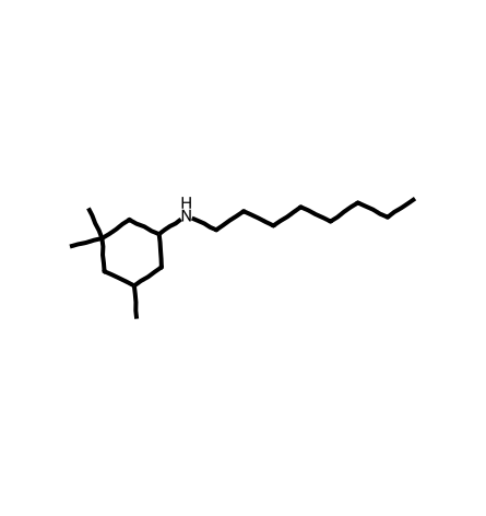 CCCCCCCCNC1CC(C)CC(C)(C)C1